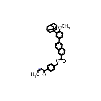 C/C=C\C(=O)c1ccc(COC(=O)c2ccc3cc(-c4ccc(OC)c(C56CC7CC(CC(C7)C5)C6)c4)ccc3c2)cc1